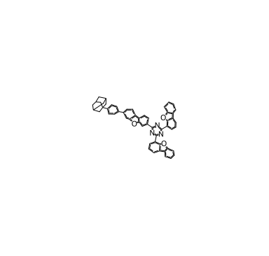 c1ccc2c(c1)oc1c(-c3nc(-c4ccc5c(c4)oc4cc(-c6ccc(C78CC9CC(CC(C9)C7)C8)cc6)ccc45)nc(-c4cccc5c4oc4ccccc45)n3)cccc12